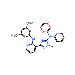 COc1cc(Nc2ncccc2-c2nc(N(C3=CC=CCC3)C3=COC=CO3)n(C)n2)cc(OC)c1